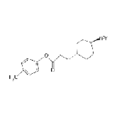 CCC[C@H]1CC[C@H](CCC(=O)Oc2ccc(C(F)(F)F)cc2)CC1